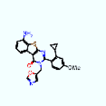 COc1ccc(-c2nc3sc4c(N)cccc4c3c(=O)n2Cc2cnco2)c(C2CC2)c1